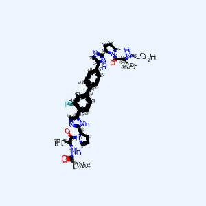 COC(=O)N[C@H](C(=O)N1CCCC1c1ncc(-c2ccc(-c3ccc(-c4cnc([C@@H]5CCCN5C(=O)[C@@H](NC(=O)O)C(C)C)[nH]4)cc3)cc2F)[nH]1)C(C)C